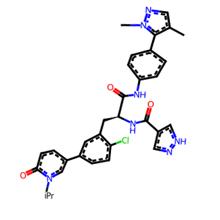 Cc1cnn(C)c1-c1ccc(NC(=O)[C@H](Cc2cc(-c3ccc(=O)n(C(C)C)c3)ccc2Cl)NC(=O)c2cn[nH]c2)cc1